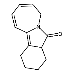 O=C1C2CCCCC2=C2C=CC=CCN12